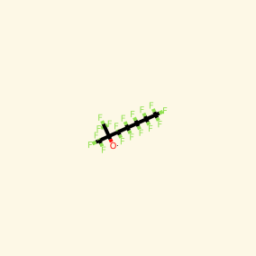 [O]C(C(F)(F)F)(C(F)(F)F)C(F)(F)C(F)(F)C(F)(F)C(F)(F)C(F)(F)F